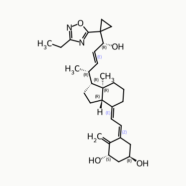 C=C1/C(=C\C=C2/CCC[C@]3(C)[C@@H]([C@H](C)/C=C/[C@@H](O)C4(c5nc(CC)no5)CC4)CC[C@@H]23)C[C@@H](O)C[C@@H]1O